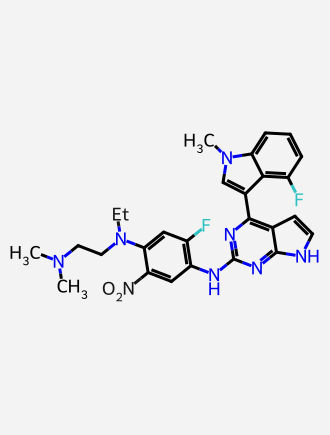 CCN(CCN(C)C)c1cc(F)c(Nc2nc(-c3cn(C)c4cccc(F)c34)c3cc[nH]c3n2)cc1[N+](=O)[O-]